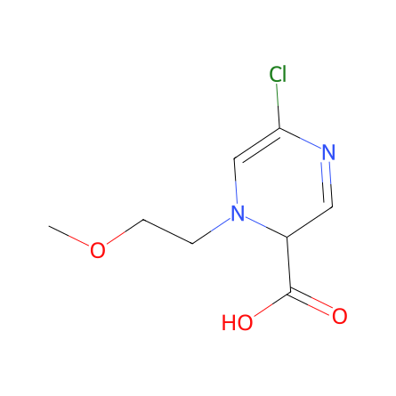 COCCN1C=C(Cl)N=CC1C(=O)O